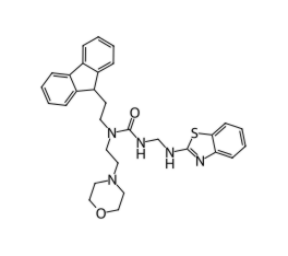 O=C(NCNc1nc2ccccc2s1)N(CCC1c2ccccc2-c2ccccc21)CCN1CCOCC1